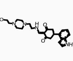 O=C1CC(c2cccc3[nH]ccc23)CC(=O)C1=CNCCN1CCN(CCO)CC1